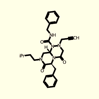 C#CCN1CC(=O)N2[C@@H](Cc3ccccc3)C(=O)N(CCC(C)C)C[C@@H]2N1C(=O)NCc1ccccc1